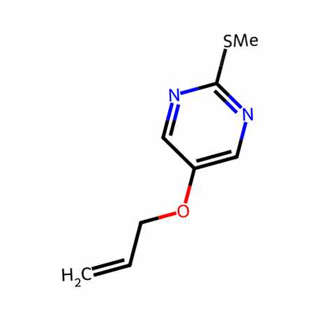 C=CCOc1cnc(SC)nc1